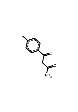 NC(=O)CC(=O)c1ccc(I)cc1